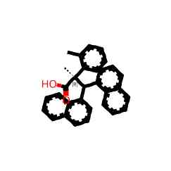 Cc1ccccc1[C@](C)(C(=O)O)C(c1cccc2ccccc12)c1cccc2ccccc12